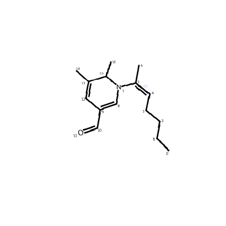 CCCC/C=C(/C)N1C=C(C=O)C=C(C)C1C